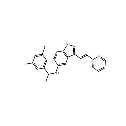 CC(Nc1cc2c(C=Cc3ccccn3)n[nH]c2cn1)c1cc(F)cc(F)c1